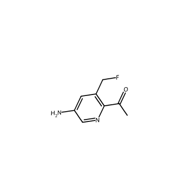 CC(=O)c1ncc(N)cc1CF